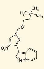 C[Si](C)(C)CCOCn1cc([N+](=O)[O-])c(-c2cnn3ccccc23)n1